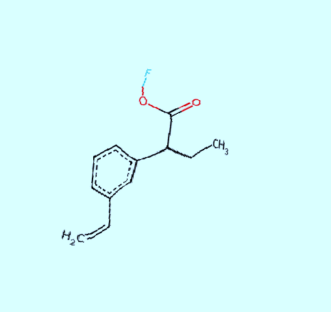 C=Cc1cccc(C(CC)C(=O)OF)c1